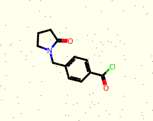 O=C(Cl)c1ccc(CN2CCCC2=O)cc1